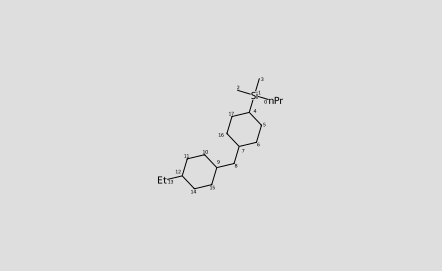 CCC[Si](C)(C)C1CCC(CC2CCC(CC)CC2)CC1